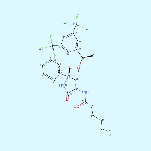 C[C@@H](OC[C@@]1(c2ccccc2)CC(NC(=O)CCCCCl)C(=O)N1)c1cc(C(F)(F)F)cc(C(F)(F)F)c1